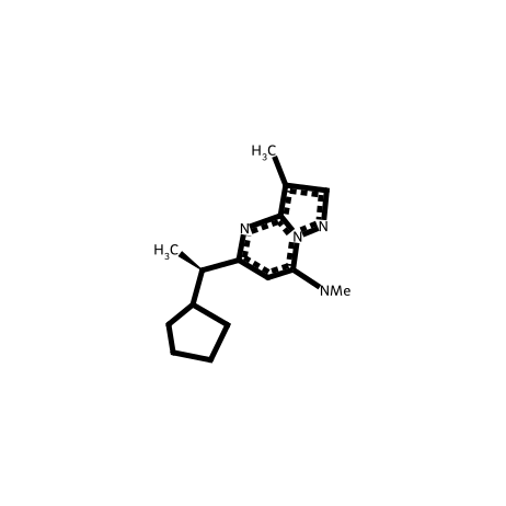 CNc1cc([C@H](C)C2CCCC2)nc2c(C)cnn12